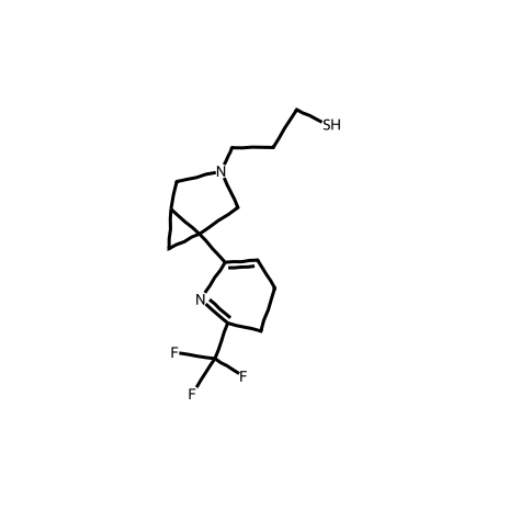 FC(F)(F)C1=NC(C23CC2CN(CCCS)C3)=CCC1